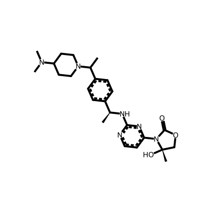 CC(c1ccc([C@H](C)Nc2nccc(N3C(=O)OC[C@]3(C)O)n2)cc1)N1CCC(N(C)C)CC1